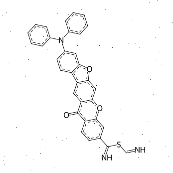 N=CSC(=N)c1ccc2c(=O)c3cc4c(cc3oc2c1)oc1cc(N(c2ccccc2)c2ccccc2)ccc14